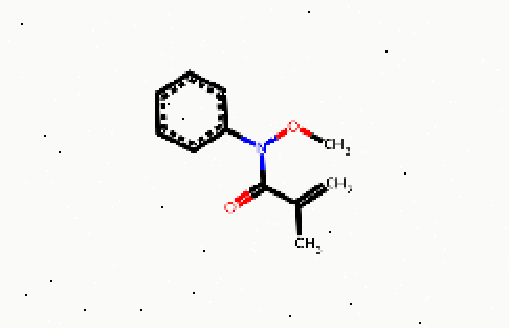 C=C(C)C(=O)N(OC)c1ccccc1